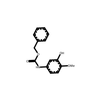 COc1ccc(NC(=O)OCc2ccccc2)cc1O